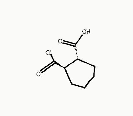 O=C(O)[C@@H]1CCCC[C@H]1C(=O)Cl